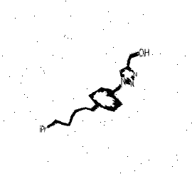 CC(C)CCCCc1ccc(-n2cc(CO)nn2)cc1